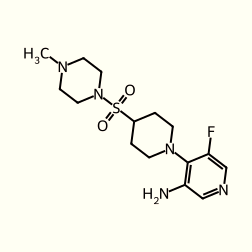 CN1CCN(S(=O)(=O)C2CCN(c3c(N)cncc3F)CC2)CC1